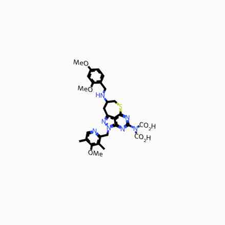 COc1ccc(CNC2CSc3nc(N(C(=O)O)C(=O)O)nc4c3c(nn4Cc3ncc(C)c(OC)c3C)C2)c(OC)c1